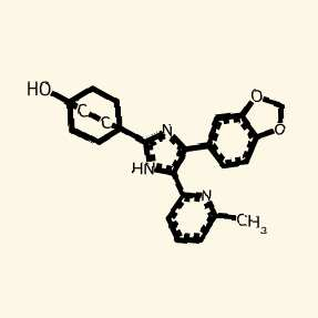 Cc1cccc(-c2[nH]c(C34CCC(O)(CC3)CC4)nc2-c2ccc3c(c2)OCO3)n1